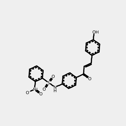 O=C(/C=C/c1ccc(O)cc1)c1ccc(NS(=O)(=O)c2ccccc2[N+](=O)[O-])cc1